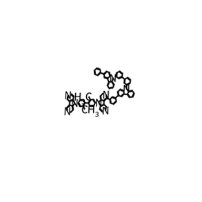 Cc1cc(-n2c3ccncc3c3cnccc32)ccc1-c1ccc(-n2c3ccncc3c3c(-c4cccc(-c5ccc6c(c5)c5ccccc5n6-c5cccc(-c6cccc(-n7c8ccccc8c8cc(-c9ccccc9)ccc87)c6)c5)c4)nccc32)cc1C